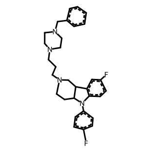 Fc1ccc(N2c3ccc(F)cc3C3CN(CCCN4CCN(Cc5ccccc5)CC4)CCC32)cc1